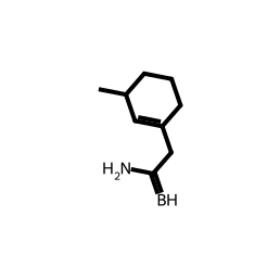 B=C(N)CC1=CC(C)CCC1